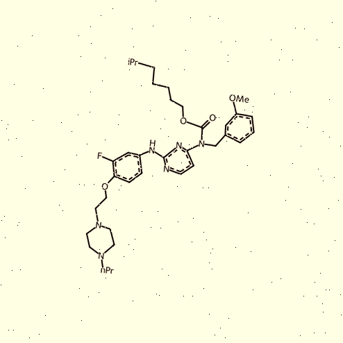 CCCN1CCN(CCOc2ccc(Nc3nccc(N(Cc4cccc(OC)c4)C(=O)OCCCCCC(C)C)n3)cc2F)CC1